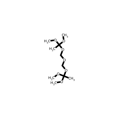 COC(C)(OC)OCOCOC(C)(OC)OC